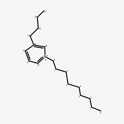 CCCCCCCCC[n+]1cccc(CCCC)c1